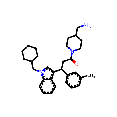 Cc1cccc(C(CC(=O)N2CCC(CN)CC2)c2cn(CC3CCCCC3)c3ccccc23)c1